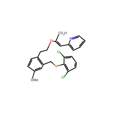 COc1ccc(CCOC(=Cc2ccccn2)C(=O)O)c(CSc2c(Cl)cccc2Cl)c1